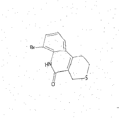 O=c1[nH]c2c(Br)cccc2c2c1CSCC2